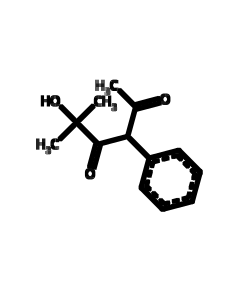 CC(=O)C(C(=O)C(C)(C)O)c1ccccc1